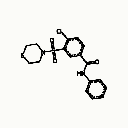 O=C(Nc1ccccc1)c1ccc(Cl)c(S(=O)(=O)N2CCSCC2)c1